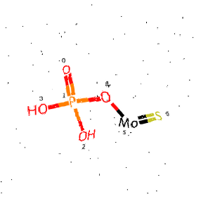 O=P(O)(O)[O][Mo]=[S]